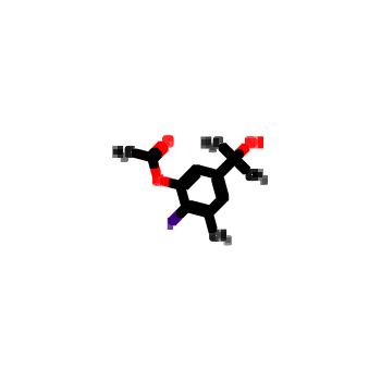 CC(=O)Oc1cc(C(C)(C)O)cc(C)c1I